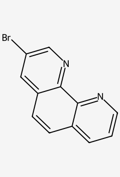 Brc1cnc2c(ccc3cccnc32)c1